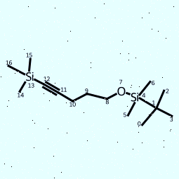 CC(C)(C)[Si](C)(C)OCCCC#C[Si](C)(C)C